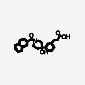 O=C(O)CCc1cccc(C2(O)CCN(C(=O)c3ccc4ccccc4c3)CC2)c1